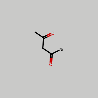 CC(=O)C[C](=O)[Ni]